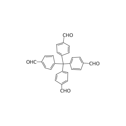 O=Cc1ccc(C(c2ccc(C=O)cc2)(c2ccc(C=O)cc2)c2ccc(C=O)cc2)cc1